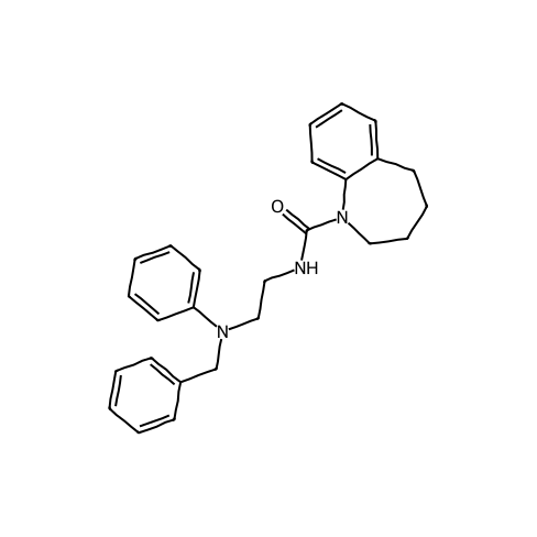 O=C(NCCN(Cc1ccccc1)c1ccccc1)N1CCCCc2ccccc21